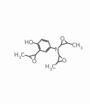 CC1OC1c1cc(N(C2OC2C)C2OC2C)ccc1O